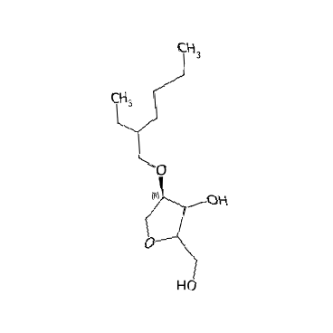 CCCCC(CC)CO[C@@H]1COC(CO)C1O